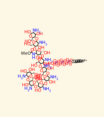 COC(=O)N[C@H]1[C@H](O[C@H]2[C@H](O)[C@@H](N)[C@H](O[C@H]3[C@H](O)[C@@H](N)[C@H](O)O[C@@H]3CO)O[C@@H]2CO)O[C@H](CO)[C@@H](O[C@@H]2O[C@H](CO)[C@@H](O[C@@H]3O[C@H](CO)[C@@H](O[C@@H]4O[C@H](CO)[C@@H](O[C@@H]5O[C@H](CO)[C@@H](O[C@@H]6O[C@H](CO)[C@@H](O[C@@H]7O[C@H](CO)[C@@H](O)[C@H](O)[C@H]7N)[C@H](O)[C@H]6N)[C@H](O)[C@H]5N)[C@H](O)[C@H]4N)[C@H](O)[C@H]3N)[C@H](O)[C@H]2N)[C@@H]1O.O=P([O-])([O-])[O-].O=P([O-])([O-])[O-].O=P([O-])([O-])[O-].[Ca+2].[Ca+2].[Ca+2].[Ca+2].[Ca+2].[OH-]